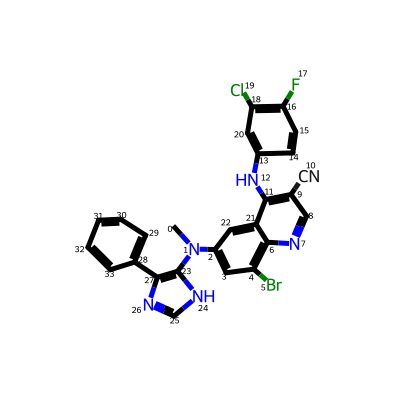 CN(c1cc(Br)c2ncc(C#N)c(Nc3ccc(F)c(Cl)c3)c2c1)c1[nH]cnc1-c1ccccc1